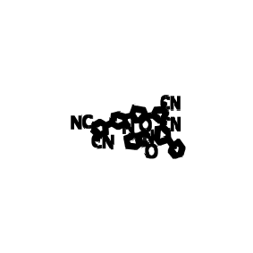 N#Cc1cc(C#N)cc(-c2ccc3c4ccc(-c5cc(C#N)cc(C#N)c5)cc4n(-c4cccc5c4C(=O)N(c4cccc(-c6ccccc6)c4)C5=O)c3c2)c1